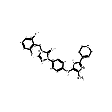 Cc1nc(C2=CCOCC2)sc1Oc1ccc(-n2ncn(Cc3c(F)cccc3F)c2=O)cc1